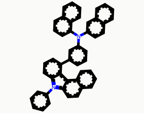 c1ccc(-n2c3cccc(-c4cccc(N(c5ccc6ccccc6c5)c5cccc6ccccc56)c4)c3c3c4ccccc4ccc32)cc1